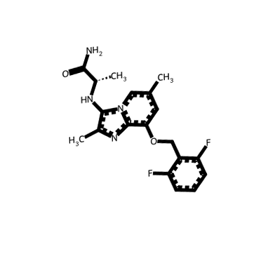 Cc1cc(OCc2c(F)cccc2F)c2nc(C)c(N[C@@H](C)C(N)=O)n2c1